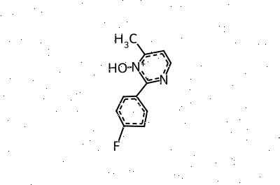 Cc1ccnc(-c2ccc(F)cc2)[n+]1O